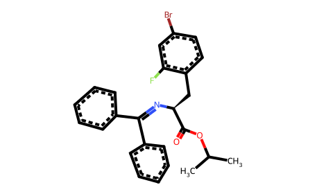 CC(C)OC(=O)[C@H](Cc1ccc(Br)cc1F)N=C(c1ccccc1)c1ccccc1